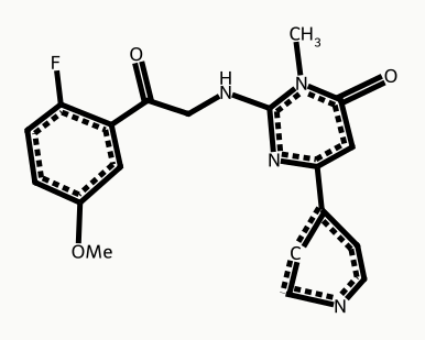 COc1ccc(F)c(C(=O)CNc2nc(-c3ccncc3)cc(=O)n2C)c1